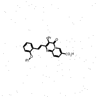 CCCc1c(C=Cc2ccccc2OC(C)C)nc2ccc(C(=O)O)cn2c1=O